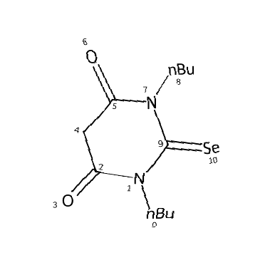 CCCCN1C(=O)CC(=O)N(CCCC)C1=[Se]